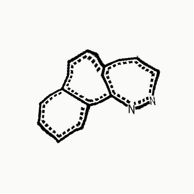 [c]1cnnc2c1ccc1ccccc12